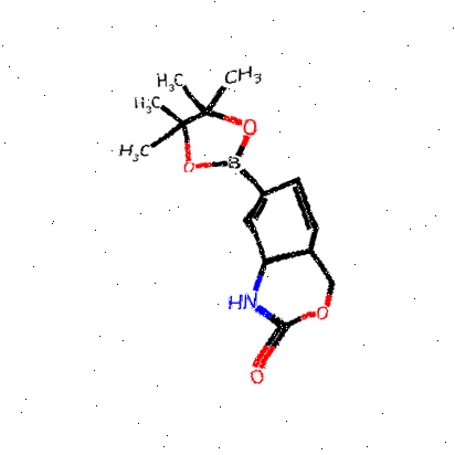 CC1(C)OB(C2=CC3NC(=O)OCC3C=C2)OC1(C)C